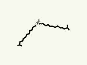 CC(C)CCCCCCCCCCO[PH](=O)OCCCCCCCCCCC(C)C